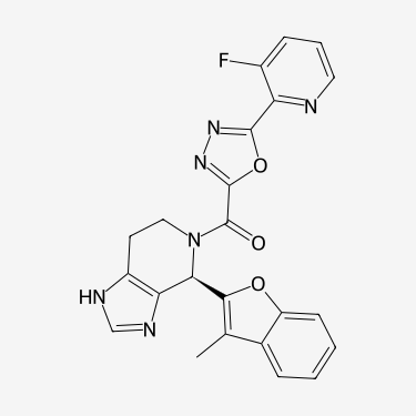 Cc1c([C@H]2c3nc[nH]c3CCN2C(=O)c2nnc(-c3ncccc3F)o2)oc2ccccc12